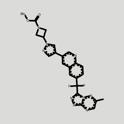 Cc1cnc2nnc(C(F)(F)c3ccc4ncc(-c5cnn(C6CN(C(=O)OC(C)(C)C)C6)c5)cc4c3)n2n1